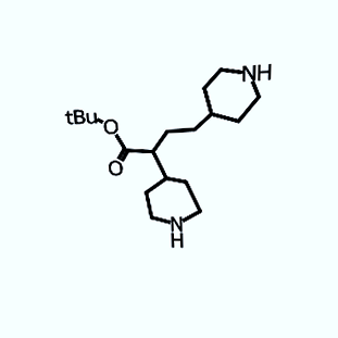 CC(C)(C)OC(=O)C(CCC1CCNCC1)C1CCNCC1